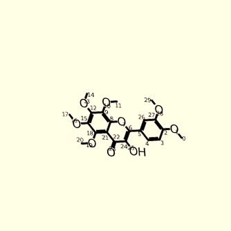 COc1ccc(-c2oc3c(OC)c(OC)c(OC)c(OC)c3c(=O)c2O)cc1OC